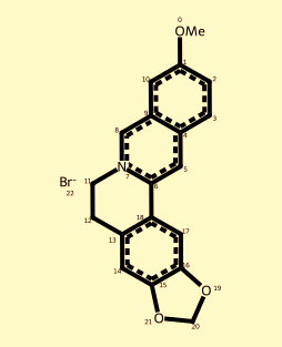 COc1ccc2cc3[n+](cc2c1)CCc1cc2c(cc1-3)OCO2.[Br-]